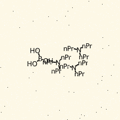 CCCN(CCC)CCC.CCCN(CCC)CCC.CCCN(CCC)CCC.OB(O)O